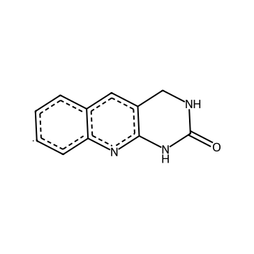 O=C1NCc2cc3cc[c]cc3nc2N1